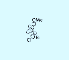 COc1ccc(CN2C(=O)COCC23COc2c(Br)cc(Cl)cc23)cc1